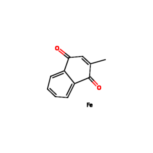 CC1=CC(=O)c2ccccc2C1=O.[Fe]